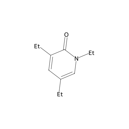 CCc1cc(CC)c(=O)n(CC)c1